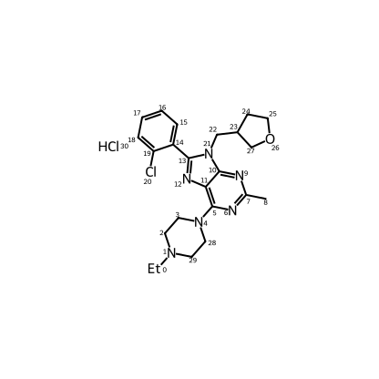 CCN1CCN(c2nc(C)nc3c2nc(-c2ccccc2Cl)n3CC2CCOC2)CC1.Cl